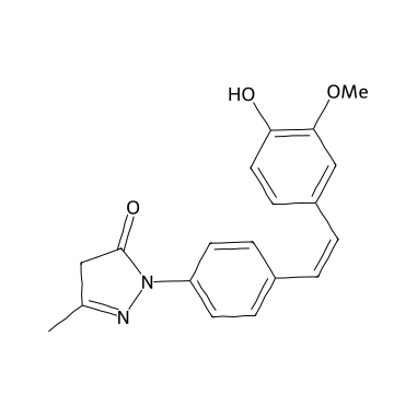 COc1cc(/C=C\c2ccc(N3N=C(C)CC3=O)cc2)ccc1O